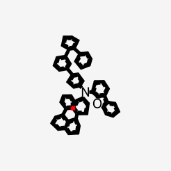 c1ccc(-c2ccccc2-c2cccc(-c3ccc(N(c4ccc(-c5cccc6cccc(-c7ccccc7)c56)cc4)c4cccc5c4oc4ccccc45)cc3)c2)cc1